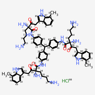 Cc1cccc2c(CC(=O)[C@@](N)(CCCCN)C(=O)Nc3ccc(C(c4ccc(NC(=O)[C@](N)(CCCCN)C(=O)Cc5c[nH]c6c(C)cccc56)cc4)c4ccc(NC(=O)[C@](N)(CCCCN)C(=O)Cc5c[nH]c6c(C)cccc56)cc4)cc3)c[nH]c12.Cl